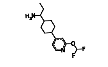 CCC(N)C1CCC(c2ccnc(OC(F)F)c2)CC1